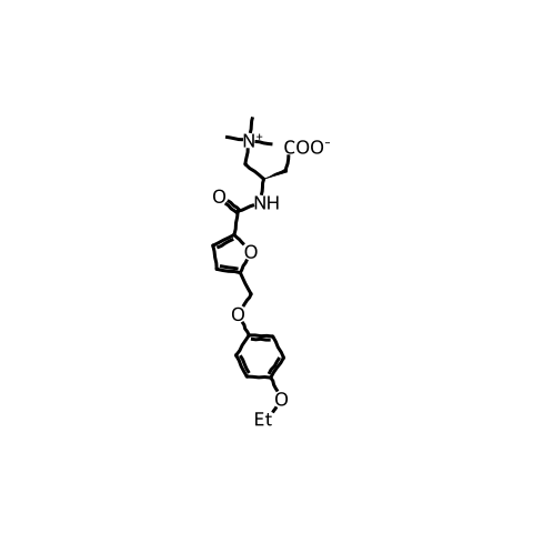 CCOc1ccc(OCc2ccc(C(=O)N[C@H](CC(=O)[O-])C[N+](C)(C)C)o2)cc1